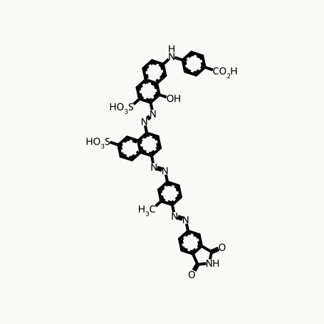 Cc1cc(N=Nc2ccc(N=Nc3c(S(=O)(=O)O)cc4ccc(Nc5ccc(C(=O)O)cc5)cc4c3O)c3cc(S(=O)(=O)O)ccc23)ccc1N=Nc1ccc2c(c1)C(=O)NC2=O